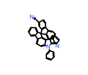 N#Cc1ccc2c(c1)C1(c3cc(C#N)ccc3-2)c2ccccc2-c2ccc3c(c21)c1ccccc1n3-c1ccccc1